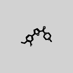 CCc1ccc(-c2ccc(C(=O)N3CCN(C)CC3)o2)cc1F